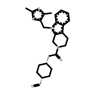 Cc1nc(Cn2c3c(c4ccccc42)CCN(C(=O)C[C@H]2CC[C@@H](C=O)CC2)C3)c(C)s1